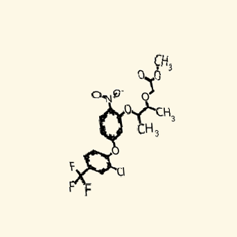 COC(=O)COC(C)C(C)Oc1cc(Oc2ccc(C(F)(F)F)cc2Cl)ccc1[N+](=O)[O-]